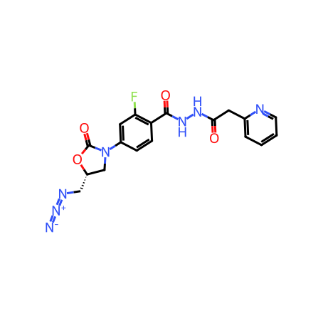 [N-]=[N+]=NC[C@H]1CN(c2ccc(C(=O)NNC(=O)Cc3ccccn3)c(F)c2)C(=O)O1